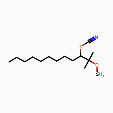 CCCCCCCCCC(SC#N)C(C)(C)O[SiH3]